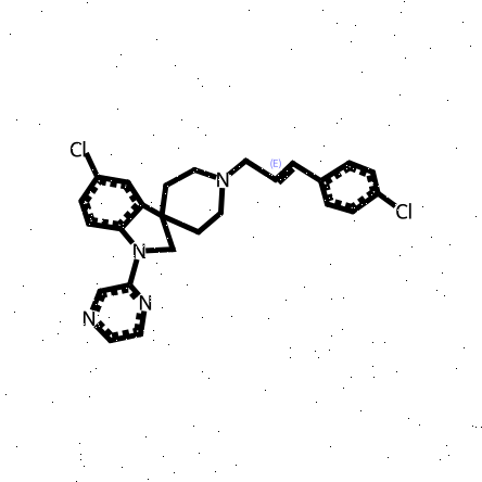 Clc1ccc(/C=C/CN2CCC3(CC2)CN(c2cnccn2)c2ccc(Cl)cc23)cc1